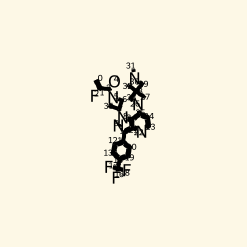 C=C(F)C(=O)N1CC(n2nc(-c3ccc(C(F)(F)F)cc3)c3nccc(N4CC5(CN(C)C5)C4)c32)C1